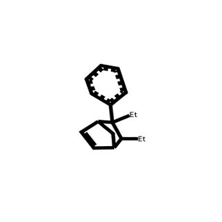 CCC1C2C=CC(C2)C1(CC)c1ccccc1